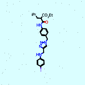 CCOC(=O)C(CC(C)C)C(=O)Nc1ccc(Cn2cc(CNc3ccc(I)cc3)nn2)cc1